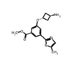 COC(=O)c1cc(O[C@H]2C[C@H](N)C2)cc(-c2ncc(C)s2)c1